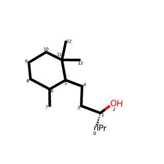 CCC[C@@H](O)CCC1C(C)CCCC1(C)C